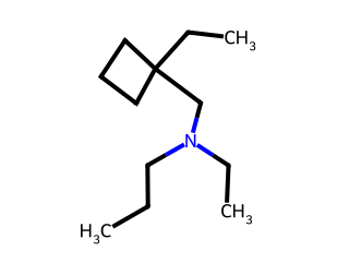 CCCN(CC)CC1(CC)CCC1